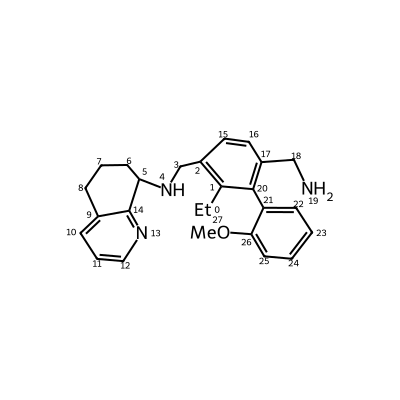 CCc1c(CNC2CCCc3cccnc32)ccc(CN)c1-c1ccccc1OC